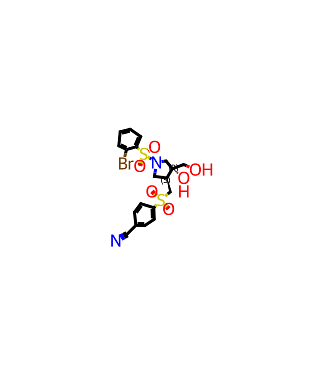 N#Cc1ccc(S(=O)(=O)C[C@H]2CN(S(=O)(=O)c3ccccc3Br)C[C@@]2(O)CO)cc1